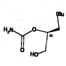 CC(C)(C)C[C@@H](CO)OC(N)=O